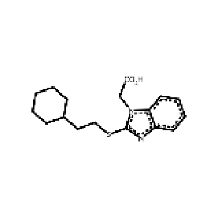 O=C(O)Cn1c(SCCC2CCCCC2)nc2ccccc21